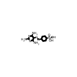 Nc1nc(N)c(N=Nc2ccc([As](=O)(O)O)cc2)c(N)n1